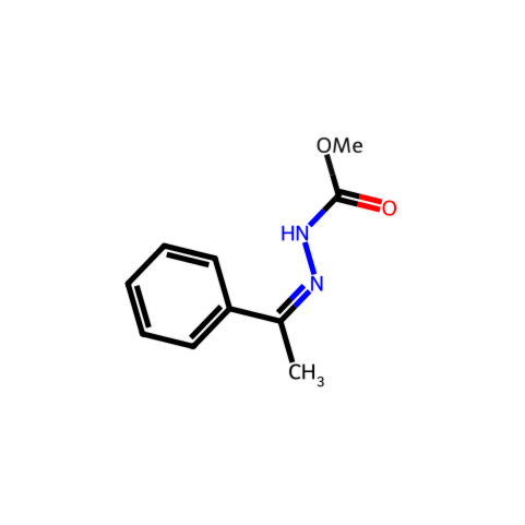 COC(=O)N/N=C(/C)c1ccccc1